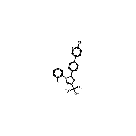 N#Cc1ccc(-c2ccc(C3CC(C(O)(C(F)(F)F)C(F)(F)F)=NN3c3ccccc3Cl)cc2)cn1